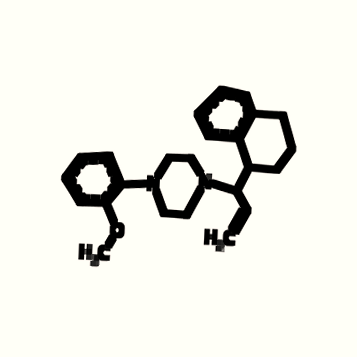 C=CC(C1CCCc2ccccc21)N1CCN(c2ccccc2OC)CC1